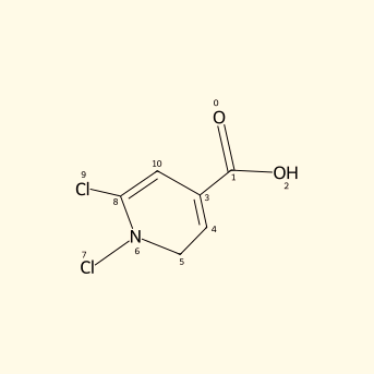 O=C(O)C1=CCN(Cl)C(Cl)=C1